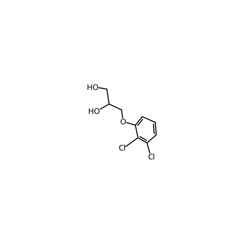 OCC(O)COc1cccc(Cl)c1Cl